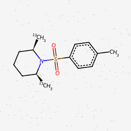 Cc1ccc(S(=O)(=O)N2[C@H]([13CH3])CCC[C@@H]2[13CH3])cc1